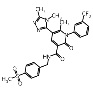 Cc1nnc(-c2cc(C(=O)NCc3ccc(S(C)(=O)=O)cc3)c(=O)n(-c3cccc(C(F)(F)F)c3)c2C)n1C